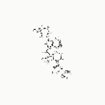 CC1CN(c2ncnc3c2c(N2CCCC2)cn3-c2cccc(Cl)c2)CCN1C(=O)OC(C)(C)C